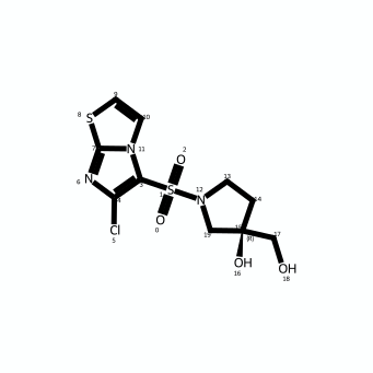 O=S(=O)(c1c(Cl)nc2sccn12)N1CC[C@](O)(CO)C1